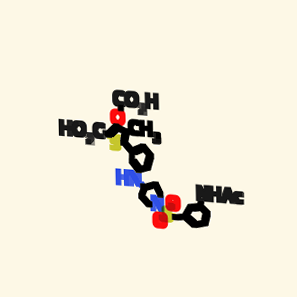 CC(=O)Nc1cccc(CS(=O)(=O)N2CCC(Nc3cccc(-c4sc(C(=O)O)c(OCC(=O)O)c4C)c3)CC2)c1